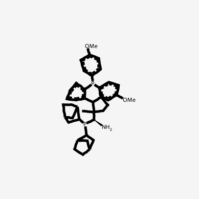 COc1ccc(P(c2ccc(OC)cc2)c2ccccc2C2CCCC2(C)[C@@H](N)P(C2CC3CCC2C3)C2CC3CCC2C3)cc1